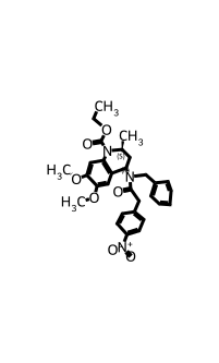 CCOC(=O)N1c2cc(OC)c(OC)cc2[C@H](N(Cc2ccccc2)C(=O)Cc2ccc([N+](=O)[O-])cc2)C[C@@H]1C